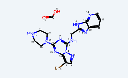 Brc1cnn2c(NCc3nc4cccnc4[nH]3)nc(N3CCNCC3)nc12.O=CO